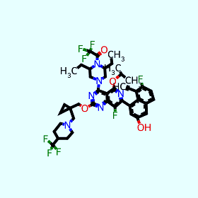 C#Cc1c(F)ccc2cc(O)cc(-c3nc(OC(C)C)c4c(N5CC(CC)N(C(=O)C(F)(F)F)C(CC)C5)nc(OCC5(CN6CCC(C(F)(F)F)CC6)CC5)nc4c3F)c12